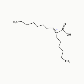 CCCCCCC/C=C(\CCCCCC)C(=O)O